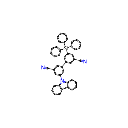 N#Cc1cc(-c2cc(C#N)cc([Si](c3ccccc3)(c3ccccc3)c3ccccc3)c2)cc(-n2c3ccccc3c3ccccc32)c1